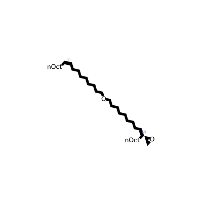 C1CO1.CCCCCCCC/C=C\CCCCCCCCOCCCCCCCC/C=C\CCCCCCCC